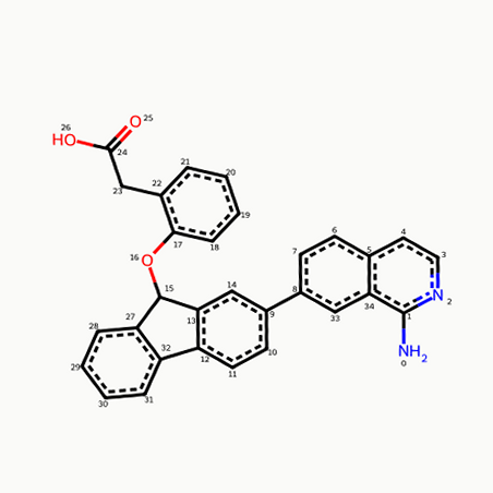 Nc1nccc2ccc(-c3ccc4c(c3)C(Oc3ccccc3CC(=O)O)c3ccccc3-4)cc12